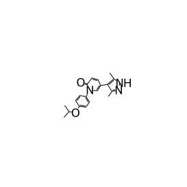 Cc1n[nH]c(C)c1-c1ccc(=O)n(-c2ccc(OC(C)C)cc2)c1